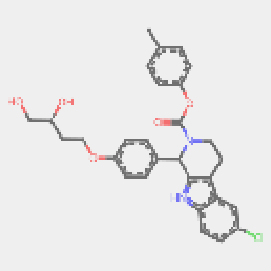 Cc1ccc(OC(=O)N2CCc3c([nH]c4ccc(Cl)cc34)C2c2ccc(OCC[C@H](O)CO)cc2)cc1